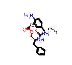 C[C@H](NC(=S)N[C@@H](COC(=O)C(C)(C)C)Cc1ccccc1)c1ccc(N)cc1